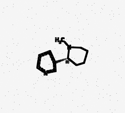 CN1CCCC[C@@H]1c1cccnc1